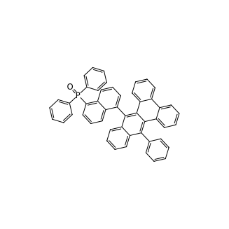 O=P(c1ccccc1)(c1ccccc1)c1cccc2c(-c3c4ccccc4c(-c4ccccc4)c4c5ccccc5c5ccccc5c34)cccc12